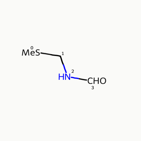 CSCNC=O